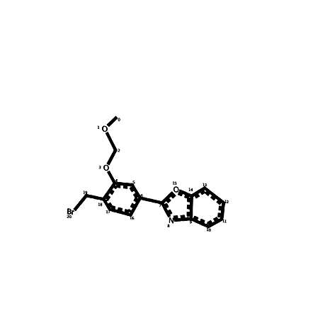 COCOc1cc(-c2nc3ccccc3o2)ccc1CBr